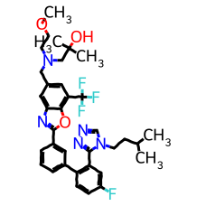 COCCN(Cc1cc(C(F)(F)F)c2oc(-c3cccc(-c4ccc(F)cc4-c4nncn4CCC(C)C)c3)nc2c1)CC(C)(C)O